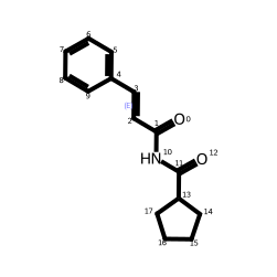 O=C(/C=C/c1ccccc1)NC(=O)C1CCCC1